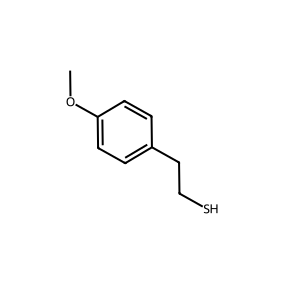 COc1ccc(CCS)cc1